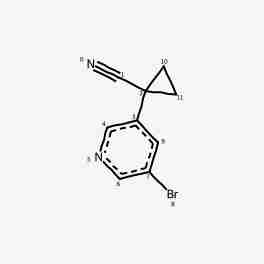 N#CC1(c2cncc(Br)c2)CC1